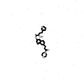 C[C@H](Oc1ccc2cc(CCC(=O)N3CCOCC3)ccc2c1)[C@H](O)CCc1cccnc1